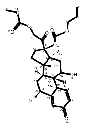 CCCOC(=O)O[C@]1(C(=O)COC(=O)OC)CC[C@H]2[C@@H]3C[C@H](F)C4=CC(=O)C=C[C@]4(C)[C@H]3C(O)C[C@@]21C